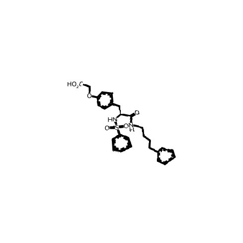 O=C(O)COc1ccc(C[C@H](NS(=O)(=O)c2ccccc2)C(=O)NCCCCc2ccccc2)cc1